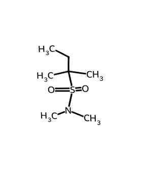 CCC(C)(C)S(=O)(=O)N(C)C